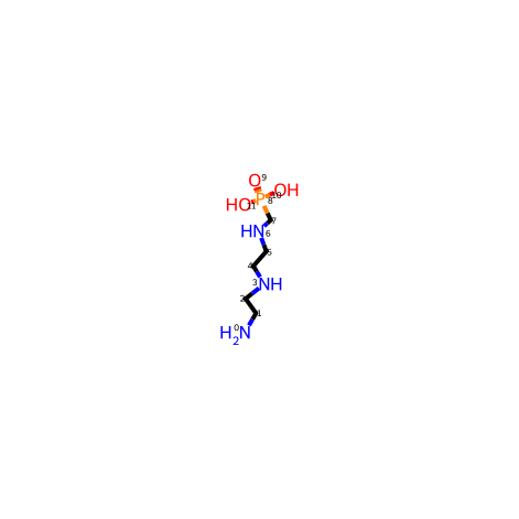 NCCNCCNCP(=O)(O)O